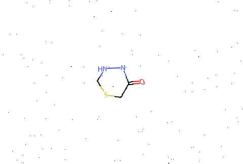 O=C1CSCN[N]1